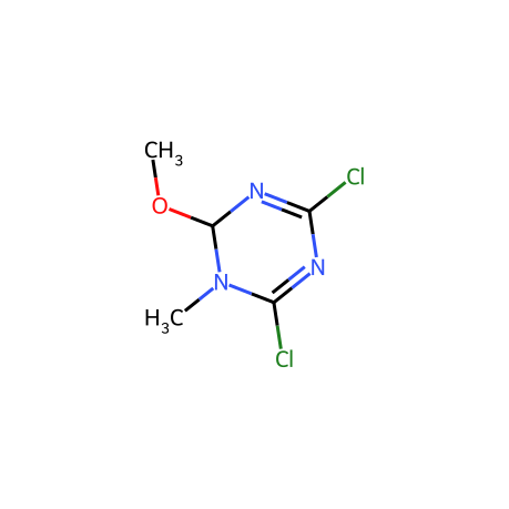 COC1N=C(Cl)N=C(Cl)N1C